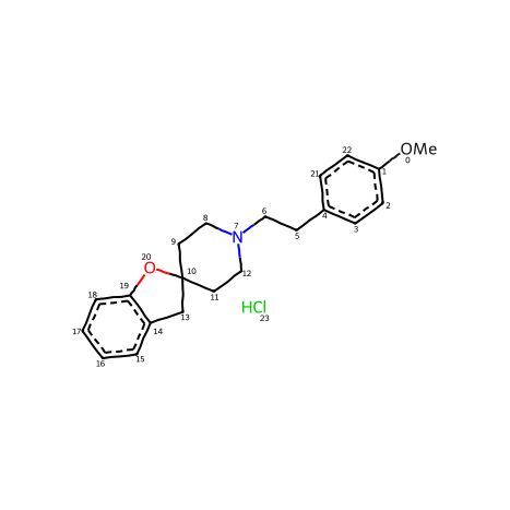 COc1ccc(CCN2CCC3(CC2)Cc2ccccc2O3)cc1.Cl